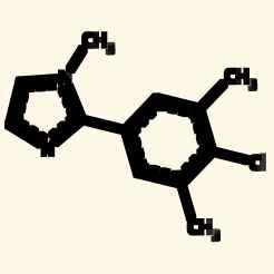 Cc1cc(-c2nccn2C)cc(C)c1Cl